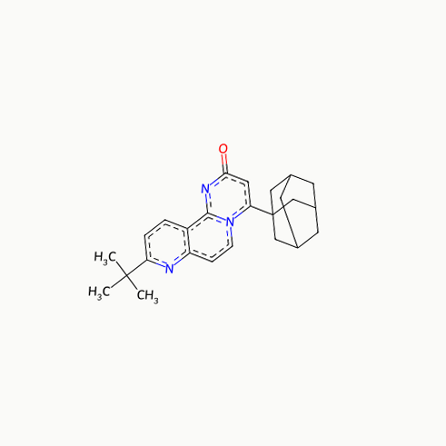 CC(C)(C)c1ccc2c(ccn3c(C45CC6CC(CC(C6)C4)C5)cc(=O)nc23)n1